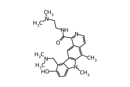 Cc1c2ccnc(C(=O)NCCN(C)C)c2cc2c3c(CN(C)C)c(O)ccc3n(C)c12